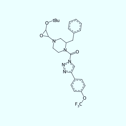 CC(C)(C)OC1OC1N1CCN(C(=O)n2cc(-c3ccc(OC(F)(F)F)cc3)nn2)C(Cc2ccccc2)C1